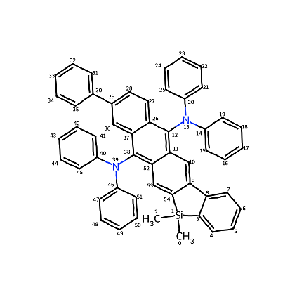 C[Si]1(C)c2ccccc2-c2cc3c(N(c4ccccc4)c4ccccc4)c4ccc(-c5ccccc5)cc4c(N(c4ccccc4)c4ccccc4)c3cc21